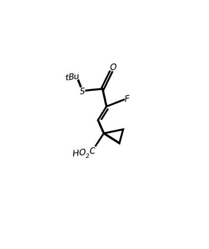 CC(C)(C)SC(=O)C(F)=CC1(C(=O)O)CC1